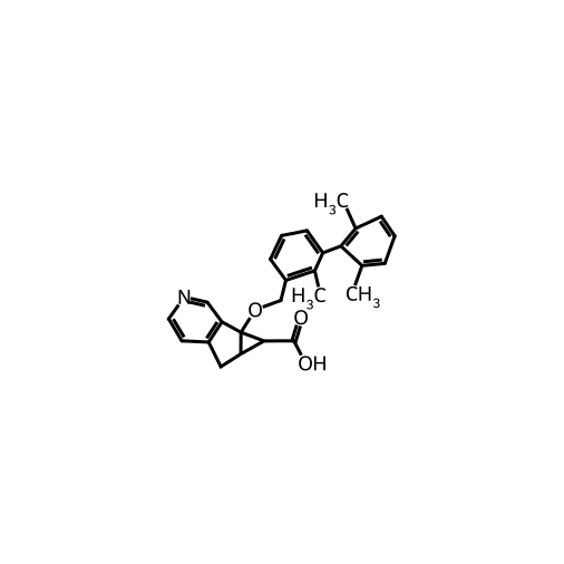 Cc1cccc(C)c1-c1cccc(COC23c4cnccc4CC2C3C(=O)O)c1C